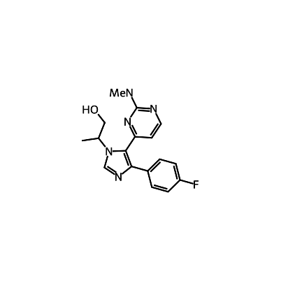 CNc1nccc(-c2c(-c3ccc(F)cc3)ncn2C(C)CO)n1